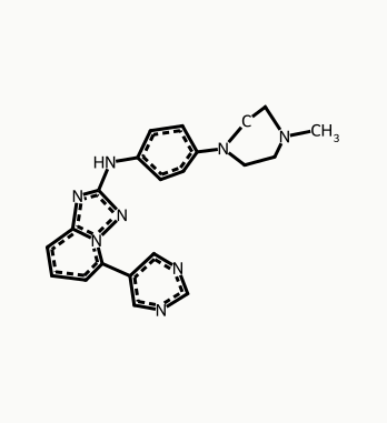 CN1CCN(c2ccc(Nc3nc4cccc(-c5cncnc5)n4n3)cc2)CC1